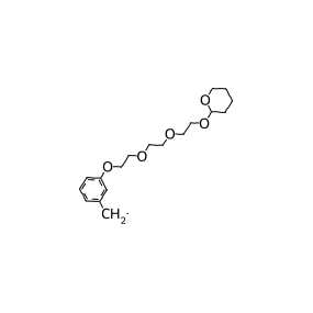 [CH2]c1cccc(OCCOCCOCCOC2CCCCO2)c1